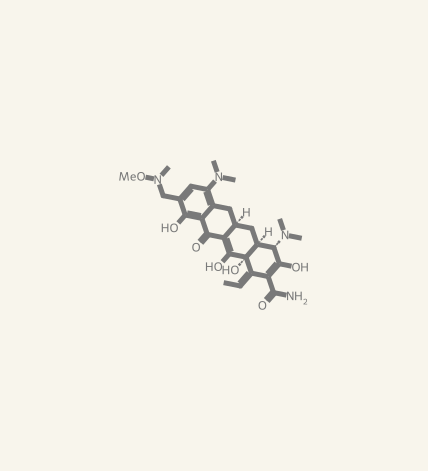 C/C=C1/C(C(N)=O)=C(O)[C@@H](N(C)C)[C@@H]2C[C@@H]3Cc4c(N(C)C)cc(CN(C)OC)c(O)c4C(=O)C3=C(O)[C@]12O